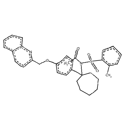 CC(=O)N(C1(c2ccc(OCc3ccc4ccccc4n3)cc2)CCCCCC1)S(=O)(=O)c1ccccc1C